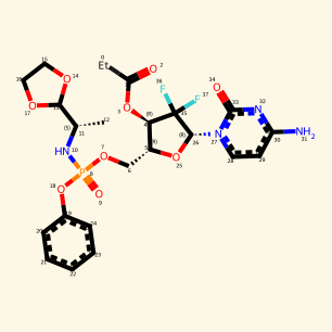 CCC(=O)O[C@@H]1[C@@H](COP(=O)(N[C@@H](C)C2OCCO2)Oc2ccccc2)O[C@@H](n2ccc(N)nc2=O)C1(F)F